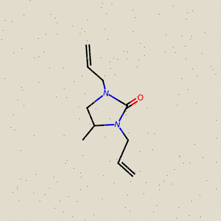 C=CCN1CC(C)N(CC=C)C1=O